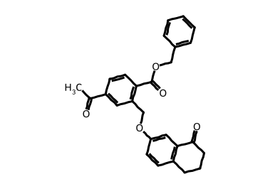 CC(=O)c1ccc(C(=O)OCc2ccccc2)c(COc2ccc3c(c2)C(=O)CCC3)c1